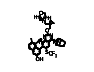 C#Cc1c(C)ccc2cc(O)cc(-c3c(SC(F)(F)F)cc4c(N5CC6CCC(C5)N6)nc(OCC5(CN6C[C@@H]7C[C@H]6CO7)CC5)nc4c3F)c12